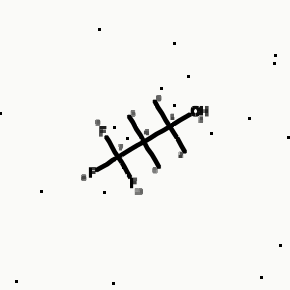 CC(C)(O)C(C)(C)C(F)(F)F